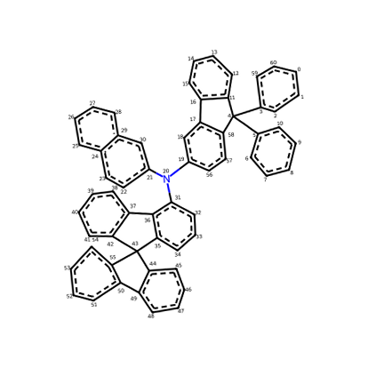 c1ccc(C2(c3ccccc3)c3ccccc3-c3cc(N(c4ccc5ccccc5c4)c4cccc5c4-c4ccccc4C54c5ccccc5-c5ccccc54)ccc32)cc1